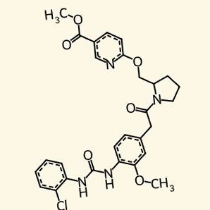 COC(=O)c1ccc(OCC2CCCN2C(=O)Cc2ccc(NC(=O)Nc3ccccc3Cl)c(OC)c2)nc1